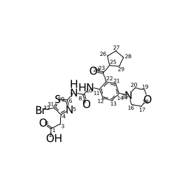 O=C(O)Cc1nc(NC(=O)Nc2ccc(N3CCOCC3)cc2C(=O)C2CCCC2)sc1Br